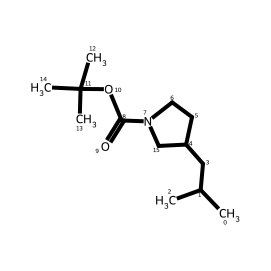 CC(C)CC1CCN(C(=O)OC(C)(C)C)C1